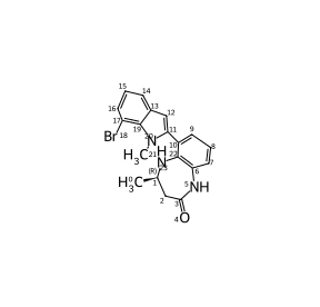 C[C@@H]1CC(=O)Nc2cccc(-c3cc4cccc(Br)c4n3C)c2N1